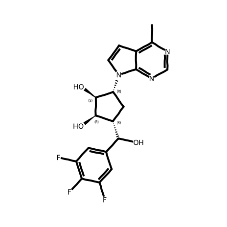 Cc1ncnc2c1ccn2[C@@H]1C[C@H](C(O)c2cc(F)c(F)c(F)c2)[C@@H](O)[C@H]1O